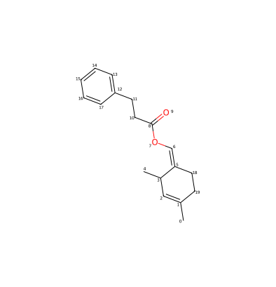 CC1=CC(C)/C(=C\OC(=O)CCc2ccccc2)CC1